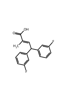 C/C(=C\C(c1cccc(F)c1)c1cccc(F)c1)C(=O)O